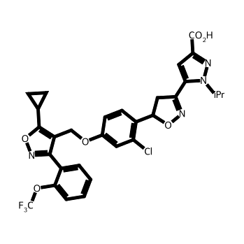 CC(C)n1nc(C(=O)O)cc1C1=NOC(c2ccc(OCc3c(-c4ccccc4OC(F)(F)F)noc3C3CC3)cc2Cl)C1